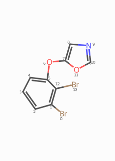 Brc1cccc(Oc2cn[c]o2)c1Br